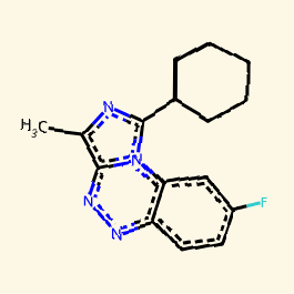 Cc1nc(C2CCCCC2)n2c1nnc1ccc(F)cc12